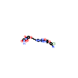 CC1(C)[C@H](NC(=O)c2ncc(N3CCN(CCCCCOc4ccc5c(c4)C(=O)N(C4CCC(=O)NC4=O)C5=O)CC3)cn2)C(C)(C)[C@H]1Oc1ccc(C#N)c(Cl)c1